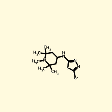 CN1C(C)(C)CC(Nc2nnc(Br)s2)CC1(C)C